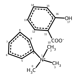 C[N+](C)(C)c1ccccc1.O=C([O-])c1ccccc1O